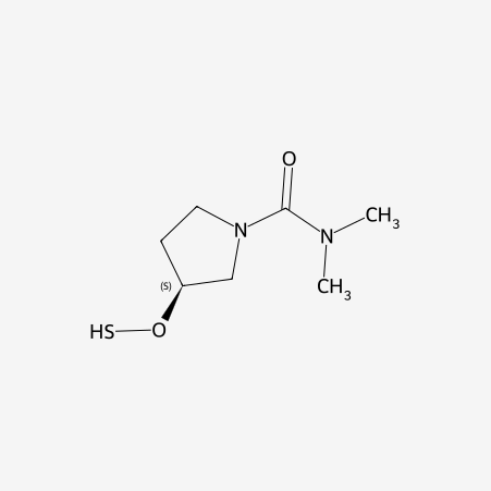 CN(C)C(=O)N1CC[C@H](OS)C1